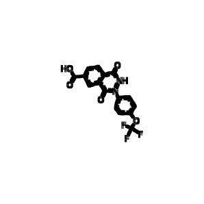 O=C(O)c1ccc2c(=O)[nH]n(-c3ccc(OC(F)(F)F)cc3)c(=O)c2c1